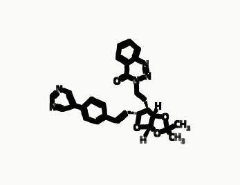 CC1(C)O[C@@H]2O[C@H](C=Cc3ccc(-c4cncnc4)cc3)[C@H](CCn3nnc4ccccc4c3=O)[C@@H]2O1